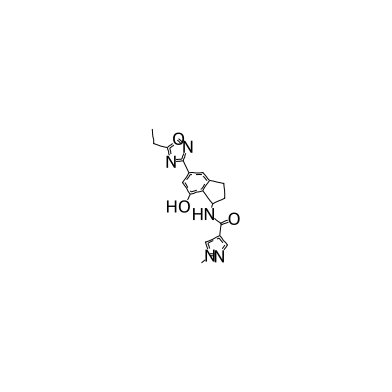 CCc1nc(-c2cc(O)c3c(c2)CCC3NC(=O)c2cnn(C)c2)no1